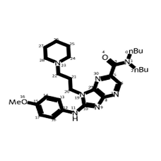 CCCCN(CCCC)C(=O)c1cnc2nc(Nc3ccc(OC)cc3)n(CCCN3CCCCC3)c2n1